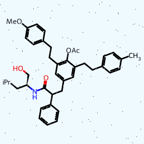 COc1ccc(CCc2cc(CC(C(=O)N[C@H](CO)CC(C)C)c3ccccc3)cc(CCc3ccc(C)cc3)c2OC(C)=O)cc1